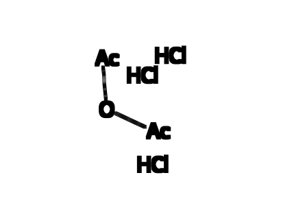 CC(=O)OC(C)=O.Cl.Cl.Cl